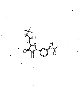 CC(=O)Nc1cccc(C2NC(=O)C(OC(=O)NC(C)(C)C)S2)c1